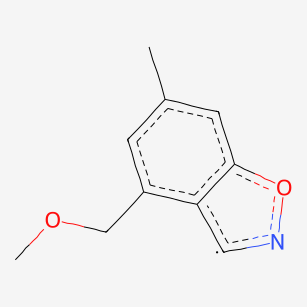 COCc1cc(C)cc2on[c]c12